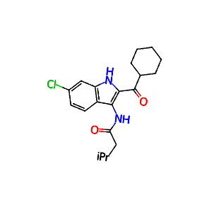 CC(C)CC(=O)Nc1c(C(=O)C2CCCCC2)[nH]c2cc(Cl)ccc12